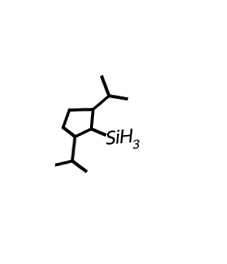 CC(C)C1CCC(C(C)C)C1[SiH3]